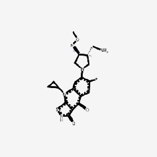 CO/N=C1/CN(c2cc3c(cc2F)c(=O)c2c(=O)[nH]sc2n3C2CC2)C[C@H]1CN